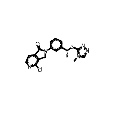 C[C@H](Sc1nncn1C)c1cccc(N2Cc3c(ccnc3Cl)C2=O)c1